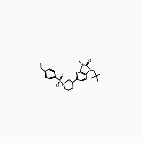 CCc1ccc(S(=O)(=O)N2CCCC(c3ccc4c(n3)n(C)c(=O)n4CC(C)(C)C)C2)cc1